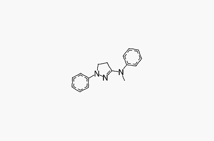 CN(C1=NN(c2ccccc2)CC1)c1ccccc1